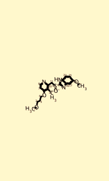 COCCCOc1ccnc(C[S@+]([O-])c2nc3cc(OC)ccc3[nH]2)c1C